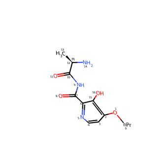 CCCOc1ccnc(C(=O)NC(=O)[C@@H](C)N)c1O